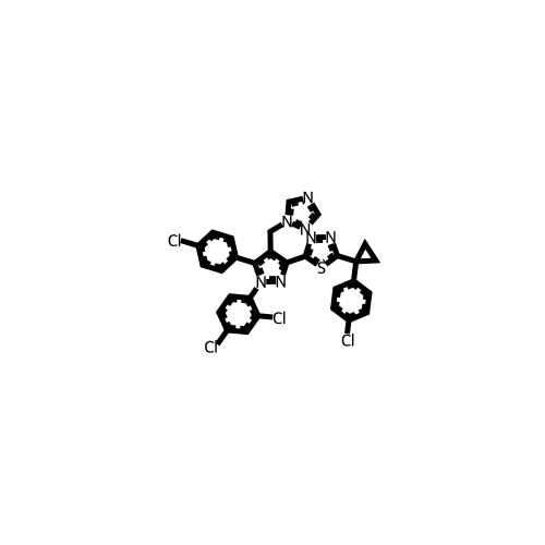 Clc1ccc(-c2c(Cn3cncn3)c(-c3nnc(C4(c5ccc(Cl)cc5)CC4)s3)nn2-c2ccc(Cl)cc2Cl)cc1